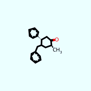 C[C@H]1CC(Cc2ccccc2)[C@H](c2ccccc2)CC1=O